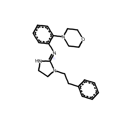 c1ccc(CCN2CCN/C2=N\c2ccccc2N2CCOCC2)cc1